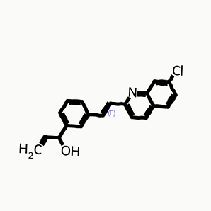 C=CC(O)c1cccc(/C=C/c2ccc3ccc(Cl)cc3n2)c1